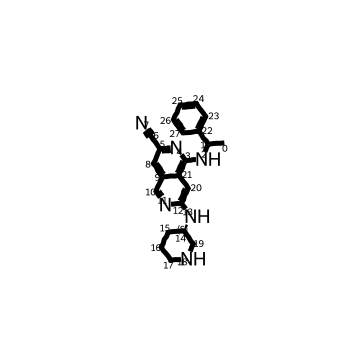 CC(Nc1nc(C#N)cc2cnc(N[C@H]3CCCNC3)cc12)c1ccccc1